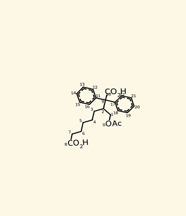 CC(=O)OCC(CCCCCC(=O)O)C(C(=O)O)(c1ccccc1)c1ccccc1